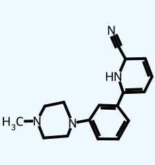 CN1CCN(c2cccc(C3=CC=CC(C#N)N3)c2)CC1